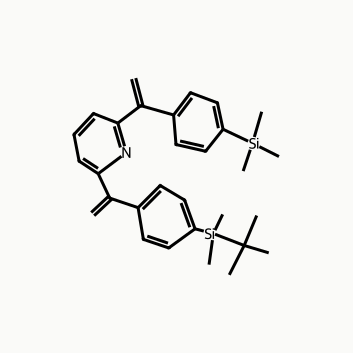 C=C(c1ccc([Si](C)(C)C)cc1)c1cccc(C(=C)c2ccc([Si](C)(C)C(C)(C)C)cc2)n1